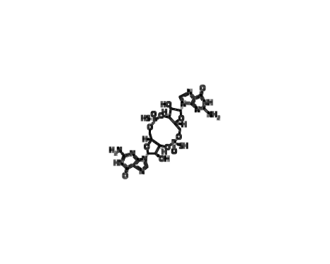 Nc1nc2c(ncn2[C@@H]2O[C@@H]3CO[P@@](=O)(S)O[C@H]4[C@@H](O)[C@H](n5cnc6c(=O)[nH]c(N)nc65)O[C@@H]4CO[P@](=O)(S)O[C@H]3[C@H]2O)c(=O)[nH]1